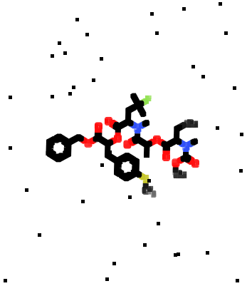 CC(OC(=O)C(CC(C)(C)C)N(C)C(=O)OC(C)(C)C)C(=O)N(C)C(CC(C)(C)F)C(=O)OC(Cc1ccc(SC(F)(F)F)cc1)C(=O)OCc1ccccc1